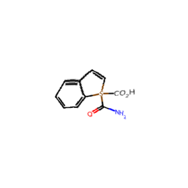 NC(=O)S1(C(=O)O)C=Cc2ccccc21